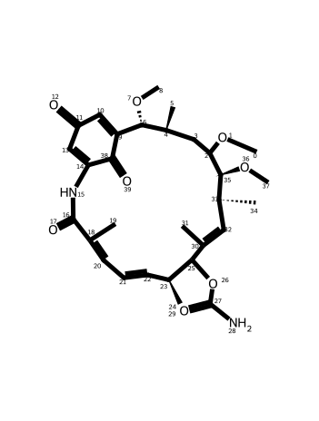 COC1C[C@H](C)[C@@H](OC)C2=CC(=O)C=C(NC(=O)/C(C)=C/C=C\[C@H](C)C(OC(N)=O)/C(C)=C/[C@@H](C)[C@@H]1OC)C2=O